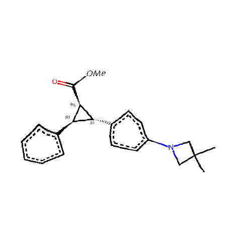 COC(=O)[C@@H]1[C@H](c2ccccc2)[C@H]1c1ccc(N2CC(C)(C)C2)cc1